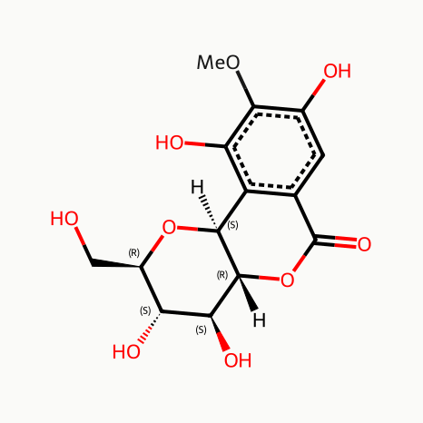 COc1c(O)cc2c(c1O)[C@@H]1O[C@H](CO)[C@@H](O)[C@H](O)[C@H]1OC2=O